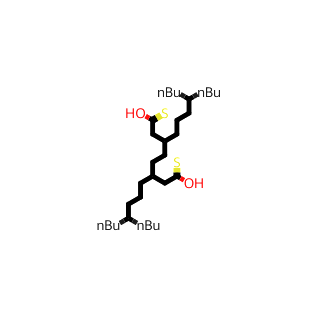 CCCCC(CCCC)CCCC(CCC(CCCC(CCCC)CCCC)CC(O)=S)CC(O)=S